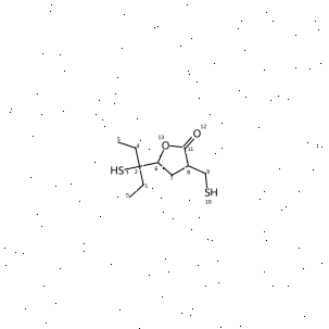 CCC(S)(CC)C1CC(CS)C(=O)O1